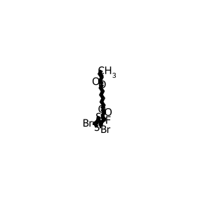 CC=CC(=O)OCCCCCCOC(=O)c1sc2c(Br)sc(Br)c2c1F